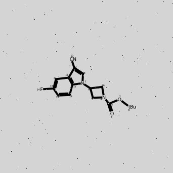 CC(C)(C)OC(=O)N1CC(n2cc(C#N)c3cc(F)ccc32)C1